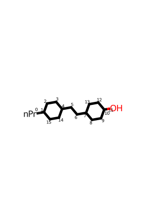 CCCC1CCC(CCC2CCC(O)CC2)CC1